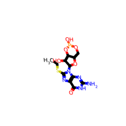 CCSc1nc2c(=O)[nH]c(N)nc2n1C1OC2COP(O)OC2C1O